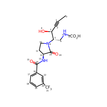 CC#C[C@H](O)[C@H](CNC(=O)O)N1CC[C@H](NC(=O)c2cccc(C(F)(F)F)c2)C1=O